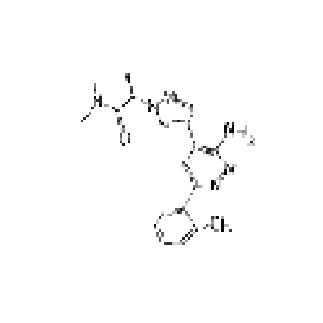 C[C@H](C(=O)N(C)C)n1cc(-c2cc(-c3ccccc3O)nnc2N)cn1